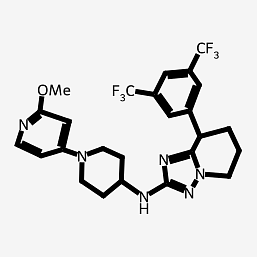 COc1cc(N2CCC(Nc3nc4n(n3)CCCC4c3cc(C(F)(F)F)cc(C(F)(F)F)c3)CC2)ccn1